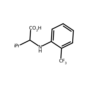 CC(C)C(Nc1ccccc1C(F)(F)F)C(=O)O